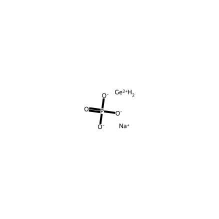 O=P([O-])([O-])[O-].[GeH2+2].[Na+]